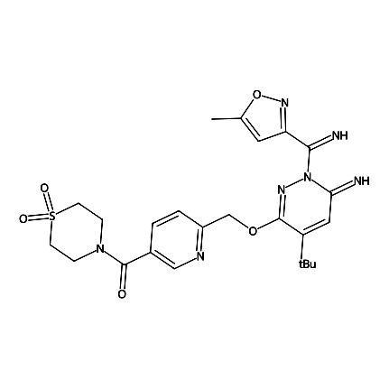 Cc1cc(C(=N)n2nc(OCc3ccc(C(=O)N4CCS(=O)(=O)CC4)cn3)c(C(C)(C)C)cc2=N)no1